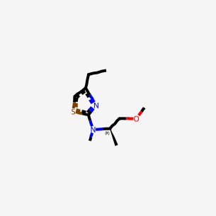 CCc1csc(N(C)[C@H](C)COC)n1